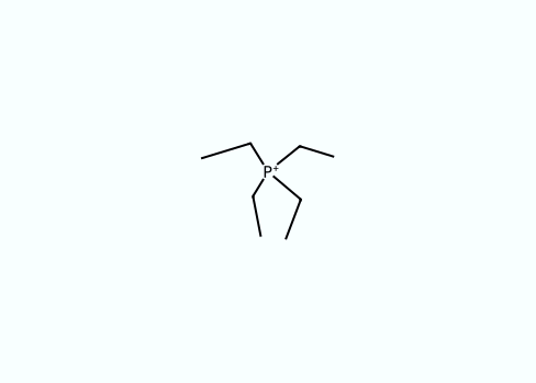 CC[P+](CC)(CC)CC